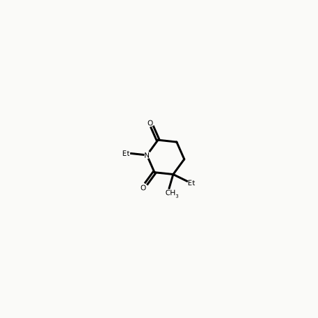 CCN1C(=O)CCC(C)(CC)C1=O